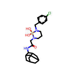 O=C(CN1CCCN(Cc2ccc(Cl)cc2)S1(O)O)NC1C2CC3CC(C2)CC1C3